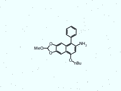 CCCCOc1cc(N)c(-c2ccccc2)c2cc3c(cc12)OC(OC)O3